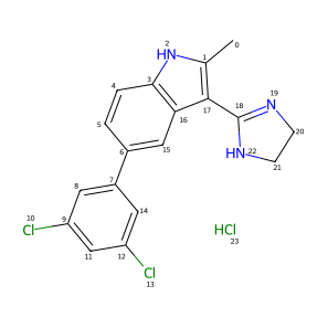 Cc1[nH]c2ccc(-c3cc(Cl)cc(Cl)c3)cc2c1C1=NCCN1.Cl